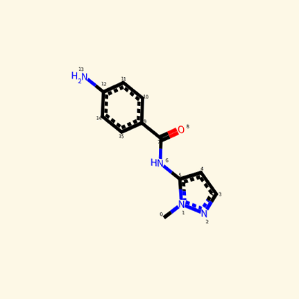 Cn1nccc1NC(=O)c1ccc(N)cc1